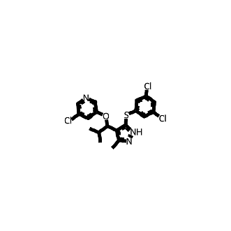 Cc1n[nH]c(Sc2cc(Cl)cc(Cl)c2)c1C(Oc1cncc(Cl)c1)C(C)C